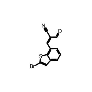 N#CC([C]=O)=Cc1cccc2cc(Br)sc12